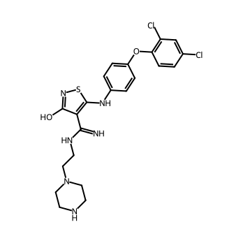 N=C(NCCN1CCNCC1)c1c(O)nsc1Nc1ccc(Oc2ccc(Cl)cc2Cl)cc1